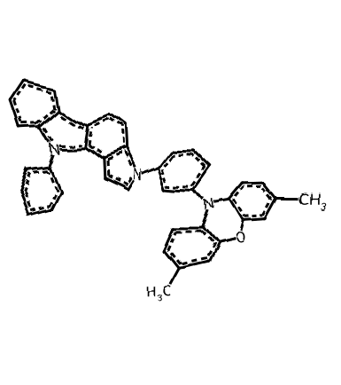 Cc1ccc2c(c1)Oc1cc(C)ccc1N2c1cccc(-n2ccc3c2ccc2c4ccccc4n(-c4ccccc4)c23)c1